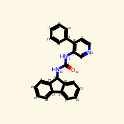 O=C(Nc1cnccc1-c1ccccc1)NC1c2ccccc2-c2ccccc21